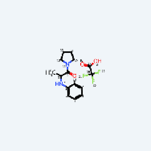 CC(Nc1ccccc1)C(=O)N1CCCC1.O=C(O)C(F)(F)F